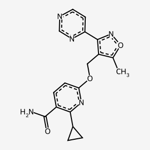 Cc1onc(-c2ccncn2)c1COc1ccc(C(N)=O)c(C2CC2)n1